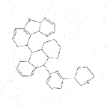 C1=CCC2C(=C1)C(c1cccc(C3CCCCC3)c1)C1CCCCC1C2C1CC=CC2=C1C1C=CC=CC1S2